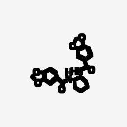 O=C(N[C@H]1CCCC[C@H]1NC(=O)c1ccc2c(c1)OCO2)c1ccc2c(c1)OCO2